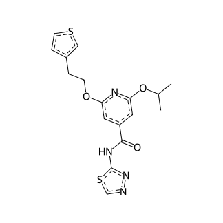 CC(C)Oc1cc(C(=O)Nc2nncs2)cc(OCCc2ccsc2)n1